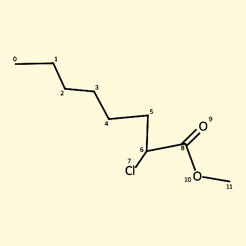 CCCCCCC(Cl)C(=O)OC